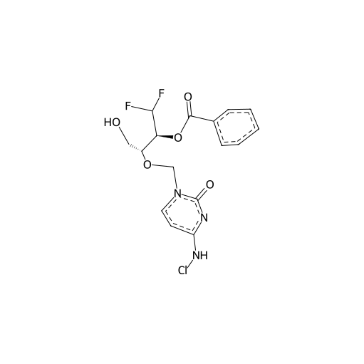 O=C(O[C@H](C(F)F)[C@@H](CO)OCn1ccc(NCl)nc1=O)c1ccccc1